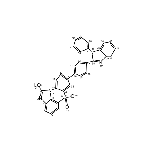 Cc1nc2cccc3c2n1-c1ccc(-c2ccc(-c4nc5ccccc5n4-c4ccccc4)cc2)cc1S3(=O)=O